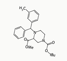 COC(=O)C1CN(C(=O)OC(C)(C)C)CCN1C(c1ccccc1)c1cccc(C)c1